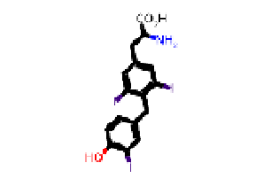 NC(Cc1cc(I)c(Cc2ccc(O)c(I)c2)c(I)c1)C(=O)O